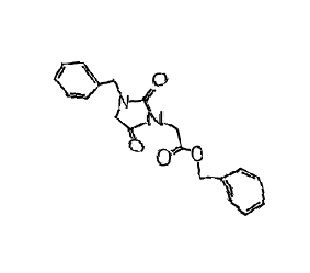 O=C(CN1C(=O)CN(Cc2ccccc2)C1=O)OCc1ccccc1